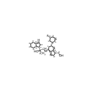 C[C@](O)(CNc1cc(-c2cncc(F)c2)nc2c(CO)cnn12)c1c[nH]c2ccccc12